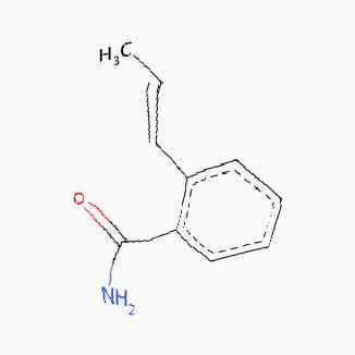 CC=Cc1ccccc1C(N)=O